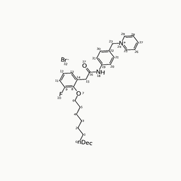 CCCCCCCCCCCCCCCCOc1c(F)cccc1CC(=O)Nc1ccc(C[n+]2ccccc2)cc1.[Br-]